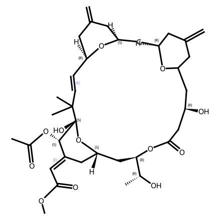 C=C1CC2C[C@@H](O)CC(=O)O[C@@H]([C@@H](C)O)C[C@@H]3C/C(=C\C(=O)OC)[C@H](OC(C)=O)[C@@](O)(O3)C(C)(C)/C=C/[C@H]3CC(=C)C[C@@H](C[C@@H](C1)O2)O3